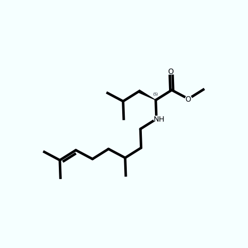 COC(=O)[C@H](CC(C)C)NCCC(C)CCC=C(C)C